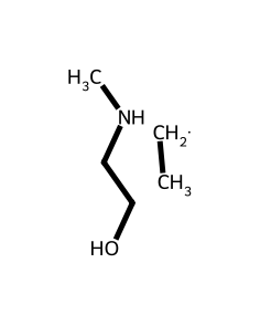 CNCCO.[CH2]C